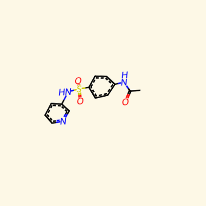 CC(=O)Nc1ccc(S(=O)(=O)Nc2cccnc2)cc1